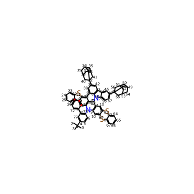 CC(C)(C)c1ccc(N2c3cc4c(cc3B3c5c2cc2c(sc6ccccc62)c5-c2cc(C56CC7CC(CC(C7)C5)C6)cc5c6cc(C78CC9CC(CC(C9)C7)C8)ccc6n3c25)Sc2ccccc2S4)c(-c2ccccc2)c1